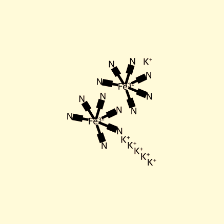 N#[C][Fe-3]([C]#N)([C]#N)([C]#N)([C]#N)[C]#N.N#[C][Fe-3]([C]#N)([C]#N)([C]#N)([C]#N)[C]#N.[K+].[K+].[K+].[K+].[K+].[K+]